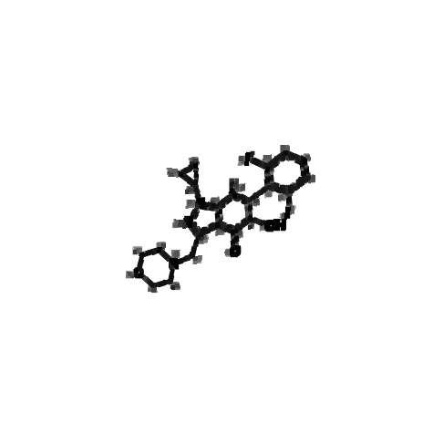 O=c1c(O)c(-c2c(F)cccc2F)[nH]c2c1c(CN1CCOCC1)nn2C1CC1